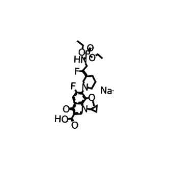 CCOP(=O)(NCC(F)=C1CCCN(c2c(F)cc3c(=O)c(C(=O)O)cn(C4CC4)c3c2OC)C1)OCC.[Na]